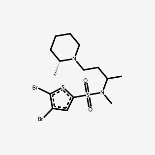 CC(CCN1CCCC[C@H]1C)N(C)S(=O)(=O)c1cc(Br)c(Br)s1